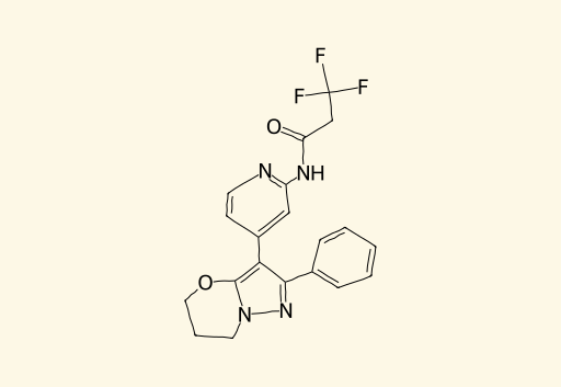 O=C(CC(F)(F)F)Nc1cc(-c2c(-c3ccccc3)nn3c2OCCC3)ccn1